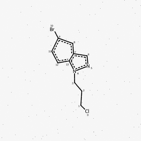 ClCCCn1ncc2cc(Br)ccc21